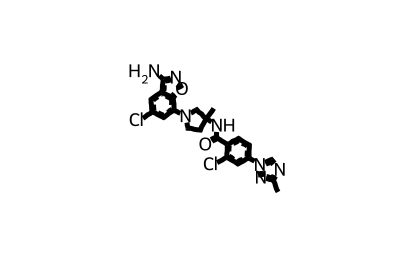 Cc1ncn(-c2ccc(C(=O)NC3(C)CCN(c4cc(Cl)cc5c(N)noc45)C3)c(Cl)c2)n1